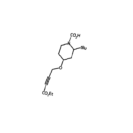 CCOC(=O)C#CCOC1CCN(C(=O)O)C(C(C)(C)C)C1